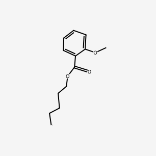 [CH2]CCCCOC(=O)c1ccccc1OC